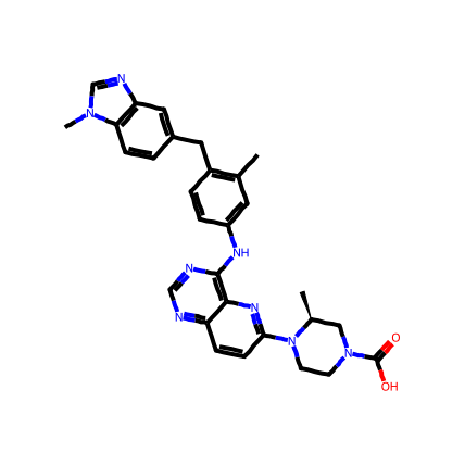 Cc1cc(Nc2ncnc3ccc(N4CCN(C(=O)O)C[C@@H]4C)nc23)ccc1Cc1ccc2c(c1)ncn2C